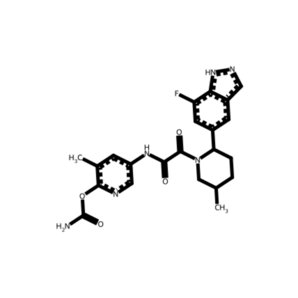 Cc1cc(NC(=O)C(=O)N2CC(C)CCC2c2cc(F)c3[nH]ncc3c2)cnc1OC(N)=O